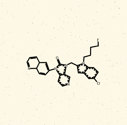 O=c1n(Cc2cc3cc(Cl)ccc3n2CCCCF)c2cnccc2n1C1=CC2C=CC=NC2C=C1